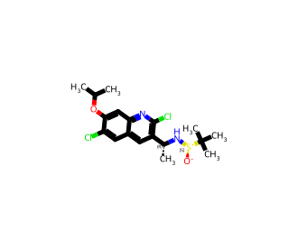 CC(C)Oc1cc2nc(Cl)c([C@@H](C)N[S@+]([O-])C(C)(C)C)cc2cc1Cl